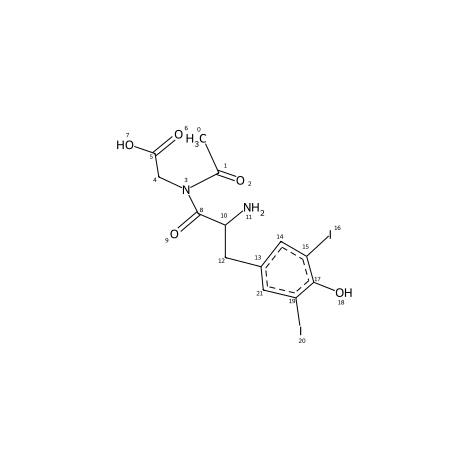 CC(=O)N(CC(=O)O)C(=O)C(N)Cc1cc(I)c(O)c(I)c1